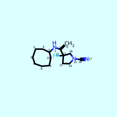 C=C(NC1CCCCCCC1)C1(F)CCN(C#N)C1